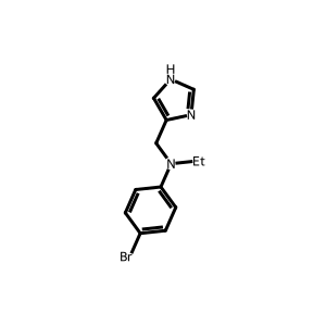 CCN(Cc1c[nH]cn1)c1ccc(Br)cc1